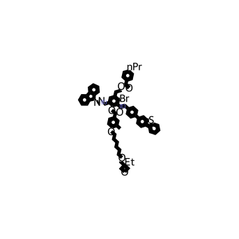 CCCc1ccc(C(=O)OCCc2cc(/C=N/N=C3c4ccccc4-c4ccccc43)c(OC(=O)c3ccc(OCCCCCCOCC4(CC)COC4)c(C)c3)c(/C=C/c3ccc(-c4ccc5c(c4)sc4ccccc45)cc3)c2Br)cc1